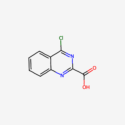 O=C(O)c1nc(Cl)c2ccccc2n1